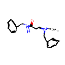 CN(CCC(=O)NCc1ccccc1)Cc1ccccc1